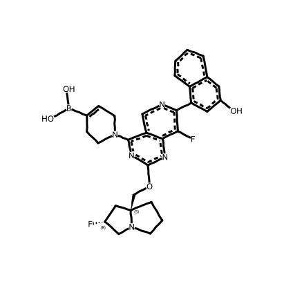 OB(O)C1=CCN(c2nc(OC[C@@]34CCCN3C[C@H](F)C4)nc3c(F)c(-c4cc(O)cc5ccccc45)ncc23)CC1